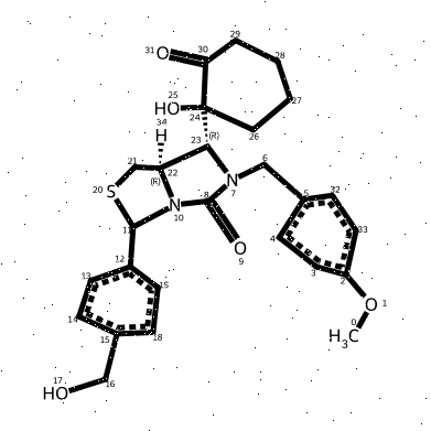 COc1ccc(CN2C(=O)N3C(c4ccc(CO)cc4)SC[C@H]3[C@@H]2C2(O)CCCCC2=O)cc1